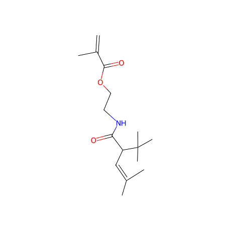 C=C(C)C(=O)OCCNC(=O)C(C=C(C)C)C(C)(C)C